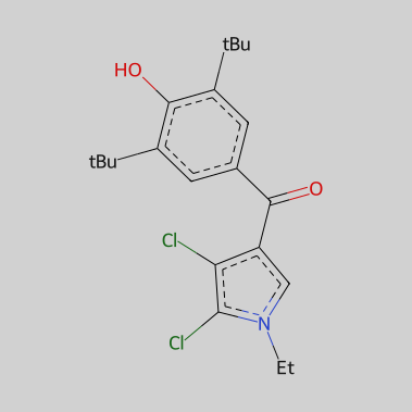 CCn1cc(C(=O)c2cc(C(C)(C)C)c(O)c(C(C)(C)C)c2)c(Cl)c1Cl